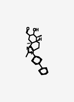 Cc1nc2c(n1-c1ccc(-c3ccccc3)cc1)CC[C@H]1[C@H](C)C(O)C(C=O)C[C@]21C